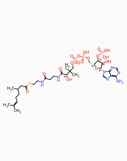 CC(C)=CCCC(C)CC(=O)SCCNC(=O)CCNC(=O)[C@H](O)C(C)(C)COP(=O)(O)OP(=O)(O)OC[C@H]1O[C@@H](n2cnc3c(N)ncnc32)[C@H](O)[C@@H]1OP(=O)(O)O